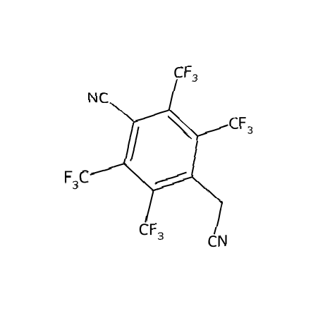 N#CCc1c(C(F)(F)F)c(C(F)(F)F)c(C#N)c(C(F)(F)F)c1C(F)(F)F